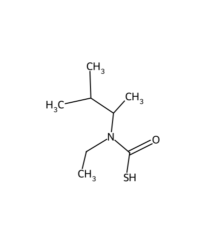 CCN(C(=O)S)C(C)C(C)C